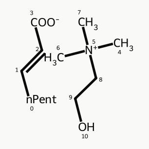 CCCCCC=CC(=O)[O-].C[N+](C)(C)CCO